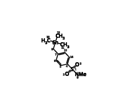 CNS(=O)(=O)c1ccc([CH2][Sn]([CH3])([CH3])[CH3])cc1